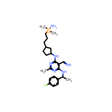 Cc1nc(NC2CCC(CCC[PH](C)(C)N)C2)c(C=N)c(NC(C)c2ccc(F)cc2)n1